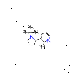 [2H]c1ncccc1C1CCCN1C([2H])([2H])[2H]